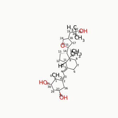 C=C1/C(=C\C=C2/CCCC3(C)[C@H]2CC[C@@H]3[C@]2(C)CC(CC(C)(C)O)CO2)C[C@@H](O)CC1O